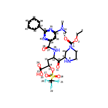 CCOC(=O)N1CCNC(C(=O)C(CC(OS(=O)(=O)C(F)(F)F)C(=O)O)NC(=O)c2cc(N(C)C)nc(-c3ccccc3)n2)C1